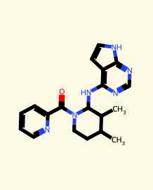 CC1CCN(C(=O)c2ccccn2)C(Nc2ncnc3[nH]ccc23)C1C